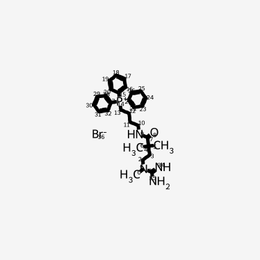 CN(CCC(C)(C)C(=O)NCCCC[P+](c1ccccc1)(c1ccccc1)c1ccccc1)C(=N)N.[Br-]